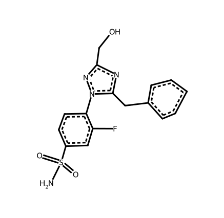 NS(=O)(=O)c1ccc(-n2nc(CO)nc2Cc2ccccc2)c(F)c1